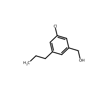 CCCc1cc(Cl)cc([CH]O)c1